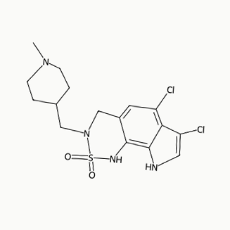 CN1CCC(CN2Cc3cc(Cl)c4c(Cl)c[nH]c4c3NS2(=O)=O)CC1